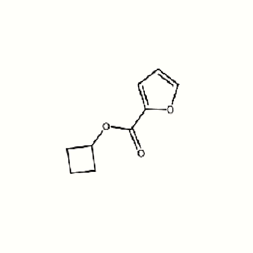 O=C(OC1CCC1)c1ccco1